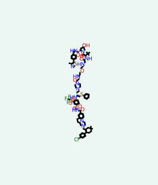 Cc1ncsc1-c1ccc([C@H](C)NC(=O)[C@@H]2C[C@@H](O)CN2C(=O)[C@@H](NC(=O)CNCCOCCNCC(=O)N2CCN(CC[C@H](CSc3ccccc3)Nc3ccc(S(=O)(=O)NC(=O)c4ccc5c(c4)CCC4CN(CC6=C(c7ccc(Cl)cc7)CCC(C)(C)C6)CCN54)cc3S(=O)(=O)C(F)(F)F)CC2)C(C)(C)C)cc1